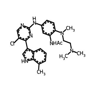 CC(=O)Nc1cc(Nc2ncc(Cl)c(-c3c[nH]c4c(C)cccc34)n2)ccc1N(C)CCN(C)C